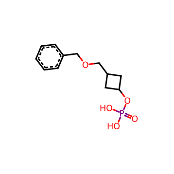 O=P(O)(O)OC1CC(COCc2ccccc2)C1